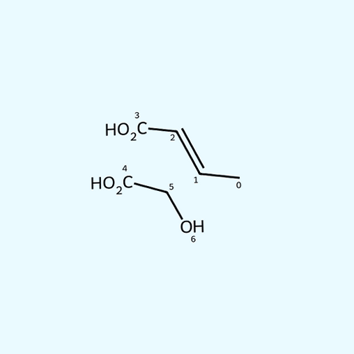 C/C=C/C(=O)O.O=C(O)CO